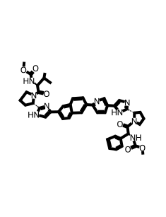 COC(=O)N[C@H](C(=O)N1CCC[C@H]1c1nc(-c2ccc3cc(-c4ccc(-c5cnc([C@@H]6CCCN6C(=O)[C@H](NC(=O)OC)c6ccccc6)[nH]5)cn4)ccc3c2)c[nH]1)C(C)C